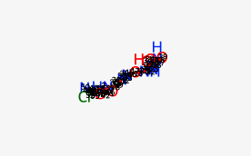 CC1(C)[C@H](NC(=O)c2ccc(N3CCN(CCOCCNc4cnn(C5CCC(=O)NC5O)c(=O)c4)CC3)cc2)C(C)(C)[C@H]1Oc1ccc(C#N)c(Cl)c1